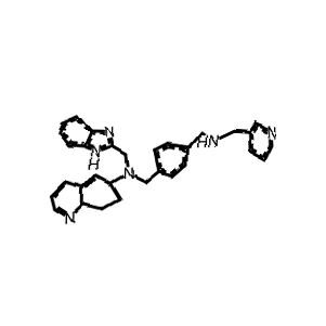 C1=CC2=CC(N(Cc3ccc(CNCc4cccnc4)cc3)Cc3nc4ccccc4[nH]3)CCC2N=C1